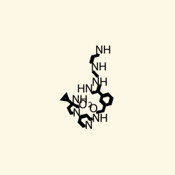 N=C/C=C\NCCN/C=C(\C=N)c1cccc(CC(=O)Nc2cc(N3CC[C@@](N)(C4CC4)C3=O)ccn2)c1